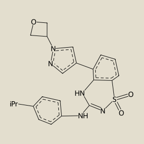 CC(C)c1ccc(NC2=NS(=O)(=O)c3cccc(-c4cnn(C5COC5)c4)c3N2)cc1